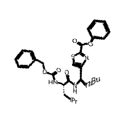 CCCCC(NC(=O)[C@H](CC(C)C)NC(=O)OCc1ccccc1)c1csc(C(=O)Oc2ccccc2)n1